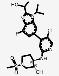 CC(O)c1nc2c(F)cc(-c3cc(N[C@@H]4CCN(S(C)(=O)=O)C[C@H]4O)ncc3Cl)cc2n1C(C)C